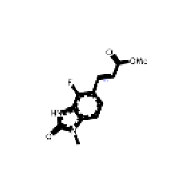 COC(=O)/C=C/c1ccc2c([nH]c(=O)n2C)c1F